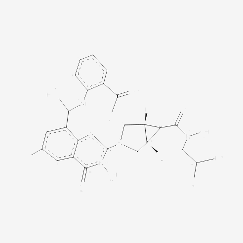 Cc1cc(C(C)Nc2ccccc2C(=O)O)c2nc(N3C[C@@H]4C(C(=O)N(C)CC(F)F)[C@@H]4C3)n(C)c(=O)c2c1